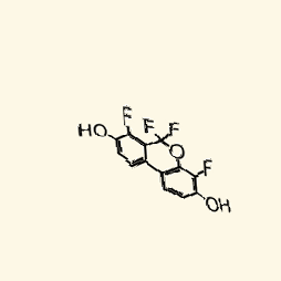 Oc1ccc2c(c1F)OC(F)(F)c1c-2ccc(O)c1F